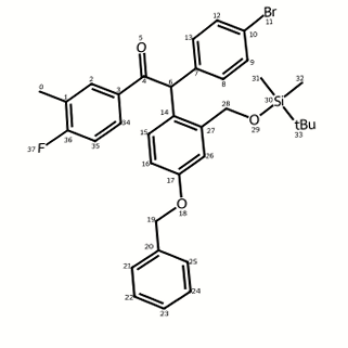 Cc1cc(C(=O)C(c2ccc(Br)cc2)c2ccc(OCc3ccccc3)cc2CO[Si](C)(C)C(C)(C)C)ccc1F